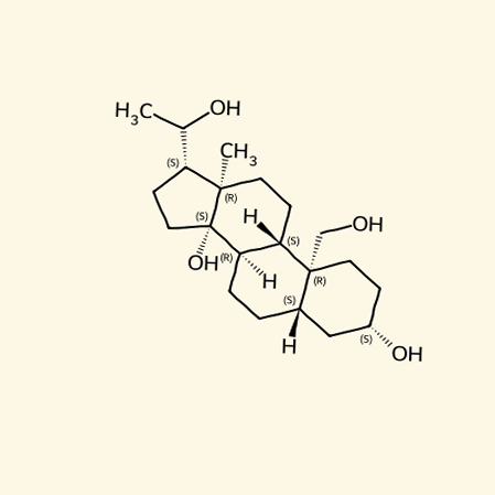 CC(O)[C@H]1CC[C@]2(O)[C@@H]3CC[C@H]4C[C@@H](O)CC[C@]4(CO)[C@H]3CC[C@]12C